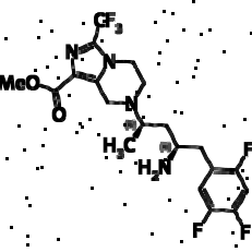 COC(=O)c1nc(C(F)(F)F)n2c1CN([C@H](C)C[C@H](N)Cc1cc(F)c(F)cc1F)CC2